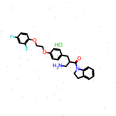 Cl.NCC(Cc1ccc(OCCOc2ccc(F)cc2F)cc1)C(=O)N1CCc2ccccc21